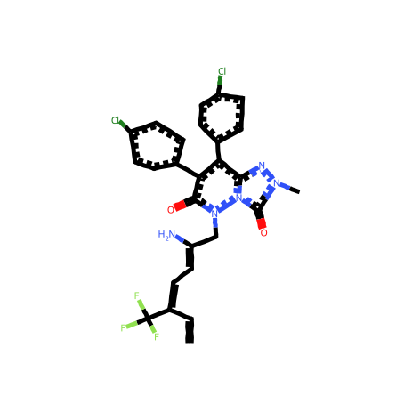 C=C/C(=C\C=C(/N)Cn1c(=O)c(-c2ccc(Cl)cc2)c(-c2ccc(Cl)cc2)c2nn(C)c(=O)n21)C(F)(F)F